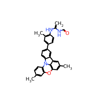 C=C(NC=O)Nc1ccc(-c2ccc3c(c2)c2cc(C)cc4c2n3-c2ccc(C)cc2O4)cc1C